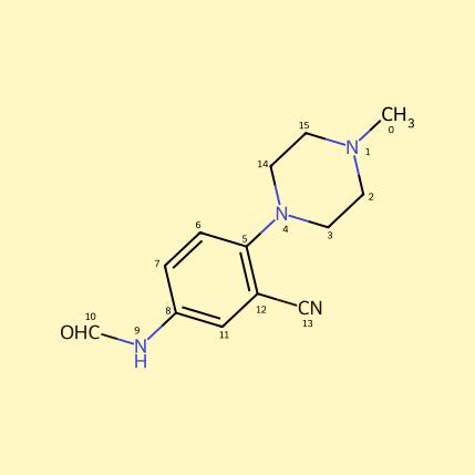 CN1CCN(c2ccc(NC=O)cc2C#N)CC1